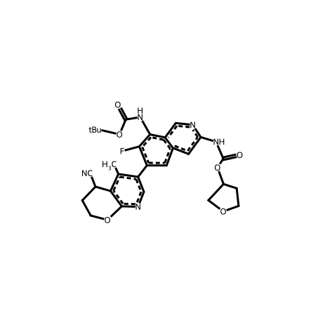 Cc1c(-c2cc3cc(NC(=O)OC4CCOC4)ncc3c(NC(=O)OC(C)(C)C)c2F)cnc2c1C(C#N)CCO2